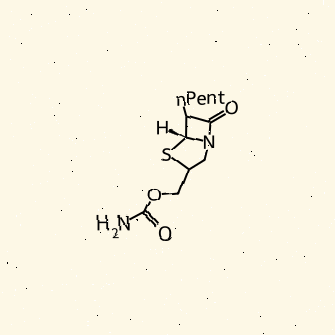 CCCCCC1C(=O)N2CC(COC(N)=O)S[C@H]12